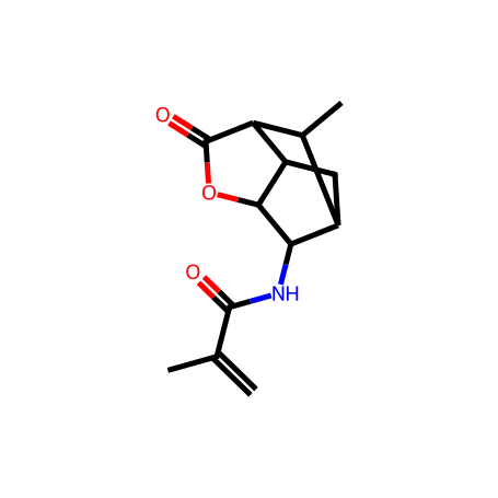 C=C(C)C(=O)NC1C2CC3C1OC(=O)C3C2C